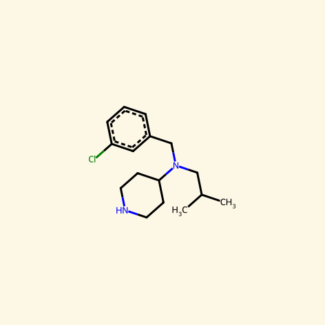 CC(C)CN(Cc1cccc(Cl)c1)C1CCNCC1